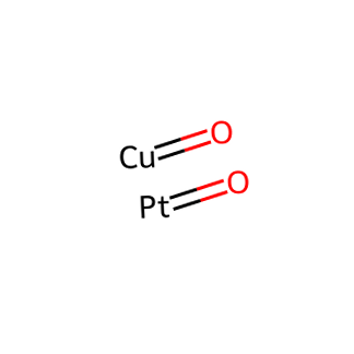 [O]=[Cu].[O]=[Pt]